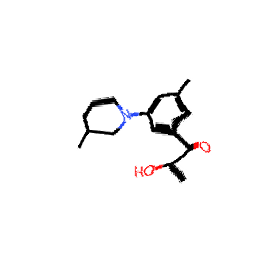 Cc1cc(C(=O)C(C)O)cc(N2CCCC(C)C2)c1